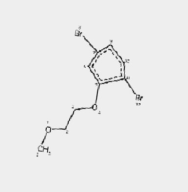 COCCOc1cc(Br)ccc1Br